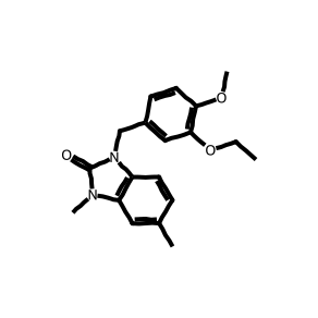 CCOc1cc(Cn2c(=O)n(C)c3cc(C)ccc32)ccc1OC